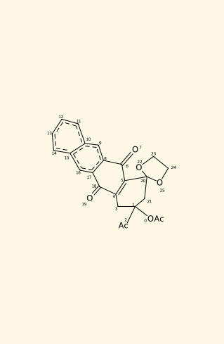 CC(=O)OC1(C(C)=O)CC2=C(C(=O)c3cc4ccccc4cc3C2=O)C2(C1)OCCO2